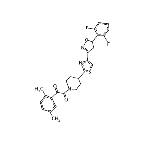 Cc1ccc(C)c(C(=O)C(=O)N2CCC(c3nc(C4=NOC(c5c(F)cccc5F)C4)cs3)CC2)c1